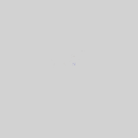 CCCCC(CC)CSc1nc2ccccc2s1